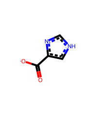 [O]C(=O)c1c[nH]cn1